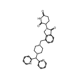 O=C1CCC(N2Cc3c(CN4CCN(C(c5ccccn5)c5ccccn5)CC4)cccc3C2=O)C(=O)N1